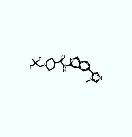 Cn1cncc1-c1ccc2cnc(NC(=O)C3CCN(CC(C)(F)F)CC3)cc2c1